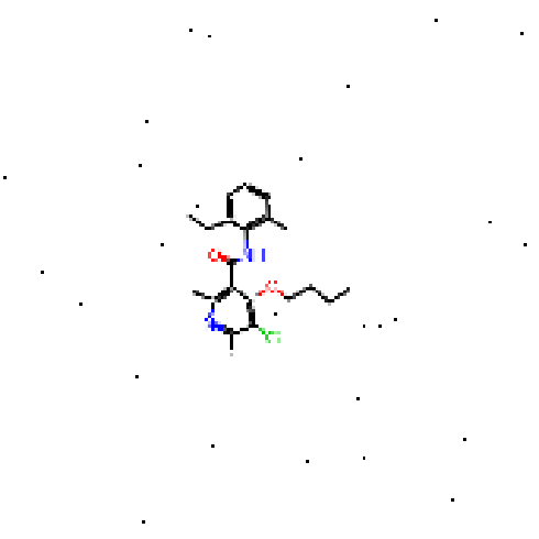 CCCCOc1c(Cl)c(C)nc(C)c1C(=O)Nc1c(C)cccc1CC